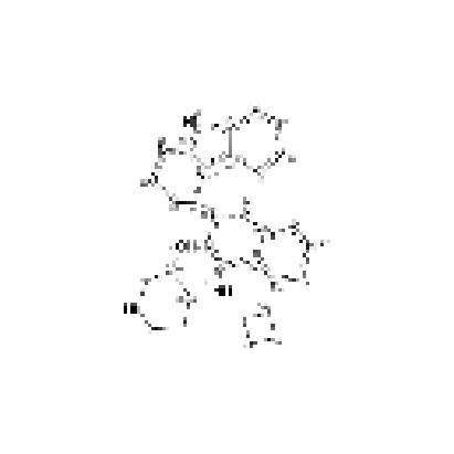 O[C@H]1CNCC[C@H]1Nc1nc(-c2ccnc3[nH]c4ccccc4c23)nc2cncc(C3CCC3)c12